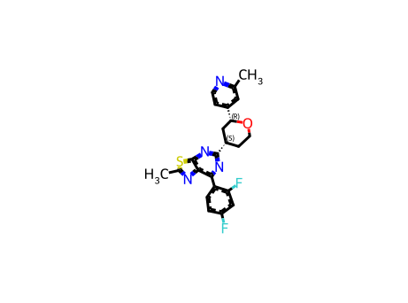 Cc1cc([C@H]2C[C@@H](c3nc(-c4ccc(F)cc4F)c4nc(C)sc4n3)CCO2)ccn1